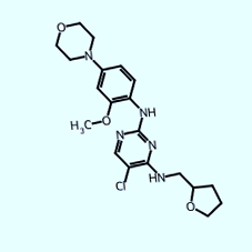 COc1cc(N2CCOCC2)ccc1Nc1ncc(Cl)c(NCC2CCCO2)n1